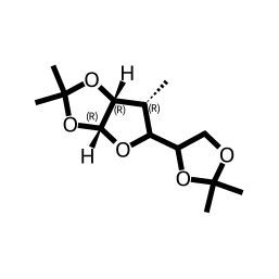 C[C@@H]1C(C2COC(C)(C)O2)O[C@@H]2OC(C)(C)O[C@@H]21